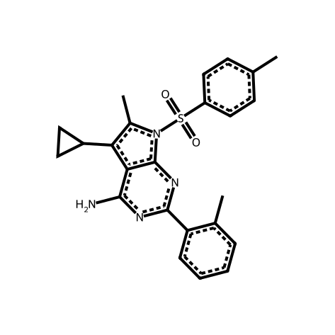 Cc1ccc(S(=O)(=O)n2c(C)c(C3CC3)c3c(N)nc(-c4ccccc4C)nc32)cc1